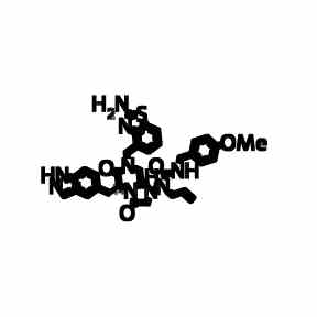 C=CCN(C(=O)NCc1ccc(OC)cc1)N1CC(=O)N2[C@@H](Cc3ccc4[nH]ncc4c3)C(=O)N(Cc3cccc4sc(N)nc34)C[C@@H]21